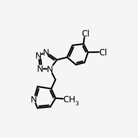 Cc1ccncc1Cn1nnnc1-c1ccc(Cl)c(Cl)c1